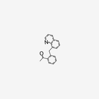 CC(=O)c1ccccc1Cc1cccc2cccnc12